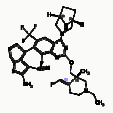 CCN1CC/C(=C\F)[C@](C)(COc2nc(N3C[C@H]4CC[C@@H](C3)N4)c3cc(C(F)(F)F)c(-c4cccc5sc(N)c(C#N)c45)c(F)c3n2)C1